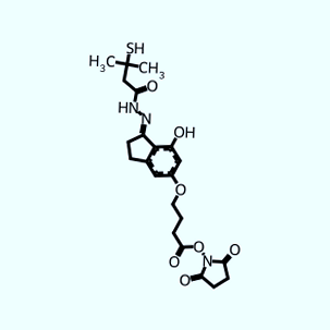 CC(C)(S)CC(=O)N/N=C1\CCc2cc(OCCCC(=O)ON3C(=O)CCC3=O)cc(O)c21